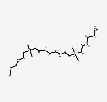 CCCOCC[N+](C)(C)CCOCCOCC[N+](C)(C)CCOCCO